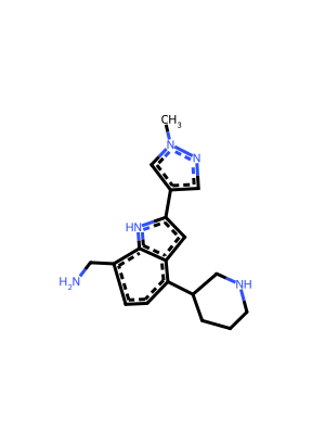 Cn1cc(-c2cc3c(C4CCCNC4)ccc(CN)c3[nH]2)cn1